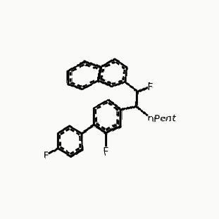 CCCCCC(c1ccc(-c2ccc(F)cc2)c(F)c1)C(F)c1ccc2ccccc2c1